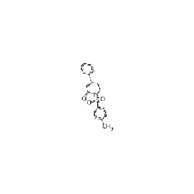 Cc1ccc(S(=O)(=O)N2CCC(c3ccccc3)=CC2=O)cc1